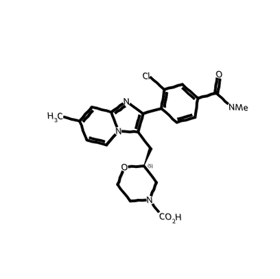 CNC(=O)c1ccc(-c2nc3cc(C)ccn3c2C[C@H]2CN(C(=O)O)CCO2)c(Cl)c1